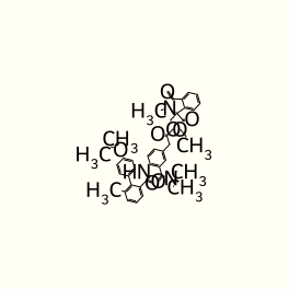 CCOC(=O)C1(COC(=O)Cc2ccc(NC(=O)c3cccc(C)c3-c3ccc(OC(C)C)cc3)c(C(=O)N(C)C)c2)c2ccccc2C(=O)N1C